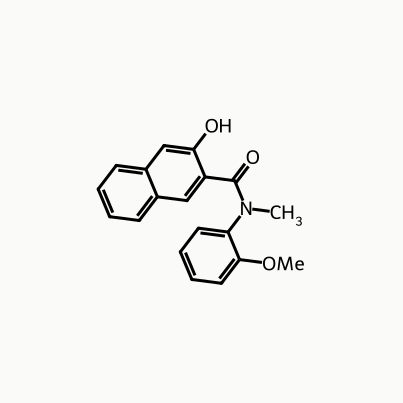 COc1ccccc1N(C)C(=O)c1cc2ccccc2cc1O